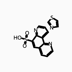 O=S(=O)(O)c1cc2cccnc2c2cccnc12.c1cscn1